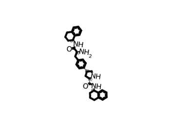 N[C@@H](Cc1ccc([C@@H]2CN[C@H](C(=O)N[C@@H]3CCCc4ccccc43)C2)cc1)C(=O)N[C@@H]1CCCc2ccccc21